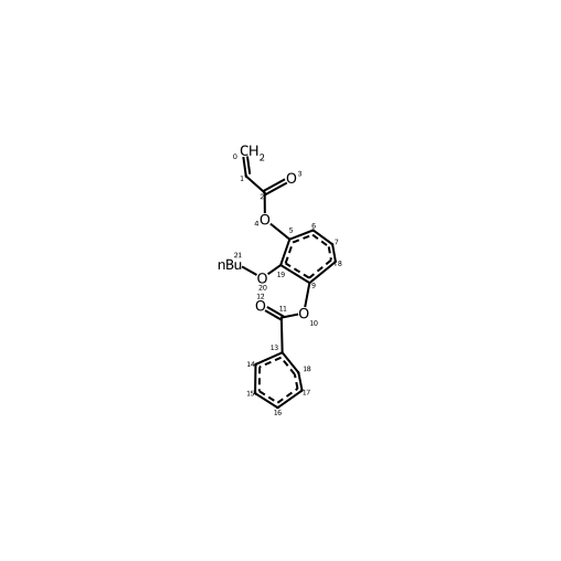 C=CC(=O)Oc1cc[c]c(OC(=O)c2ccccc2)c1OCCCC